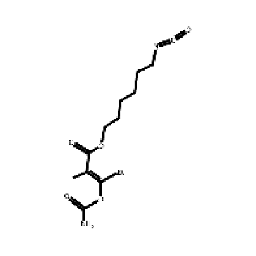 CCC(OC(N)=O)=C(C)C(=O)OCCCCCCN=C=O